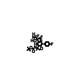 CC(C)(C)OC(=O)N[C@@]1(C)COc2c1cc([C@@](O)(CN)C(F)(F)F)nc2-c1ccc(F)cc1